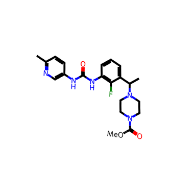 COC(=O)N1CCN(C(C)c2cccc(NC(=O)Nc3ccc(C)nc3)c2F)CC1